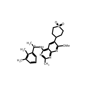 COc1nc2nc(C)nc(N[C@H](C)c3cccc(C)c3C)c2cc1C1CCS(=O)(=O)CC1